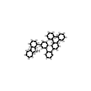 c1cc(-c2ccccc2-c2ccc3c4ccccc4c4ccccc4c3c2)cc(-c2cccc3c2[nH]c2ccccc23)c1